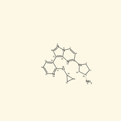 N[C@H]1CCN(c2ccn3ncc(-c4cccnc4OC4CC4)c3n2)C1